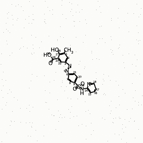 Cc1cc(N=Nc2ccc(S(=O)(=O)Nc3ccccn3)cc2)cc(C(=O)O)c1O